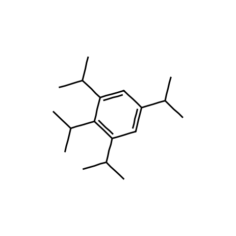 CC(C)c1cc(C(C)C)c(C(C)C)c(C(C)C)c1